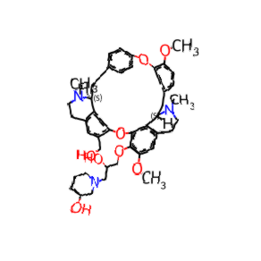 COc1ccc2cc1Oc1ccc(cc1)C[C@H]1c3cc(c(CO)cc3CCN1C)Oc1c(OCC(O)CN3CCCC(O)C3)c(OC)cc3c1[C@H](C2)N(C)CC3